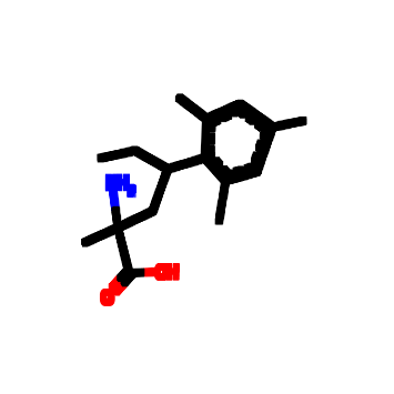 CCC(CC(C)(N)C(=O)O)c1c(C)cc(C)cc1C